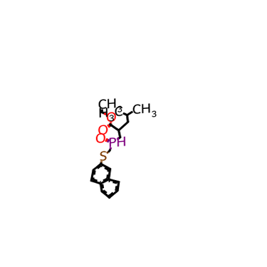 CCOC(=O)C(CC(C)C)C[PH](=O)CSc1ccc2ccccc2c1